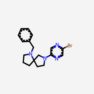 Brc1cnc(N2CCC3(CCCN3Cc3ccccc3)C2)cn1